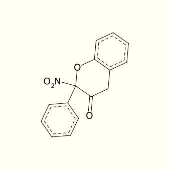 O=C1Cc2ccccc2OC1(c1ccccc1)[N+](=O)[O-]